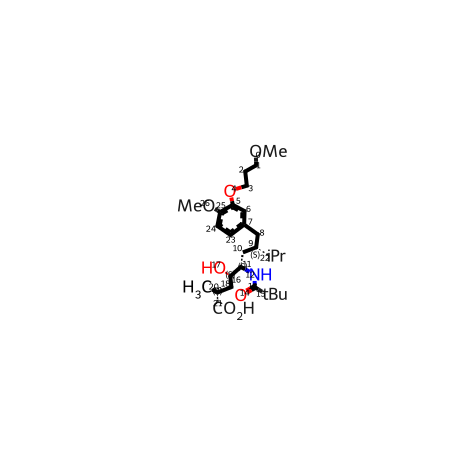 COCCCOc1cc(C[C@@H](C[C@H](NC(=O)C(C)(C)C)[C@@H](O)C[C@@H](C)C(=O)O)C(C)C)ccc1OC